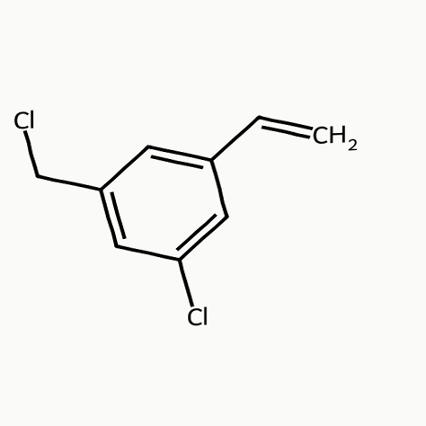 C=Cc1cc(Cl)cc(CCl)c1